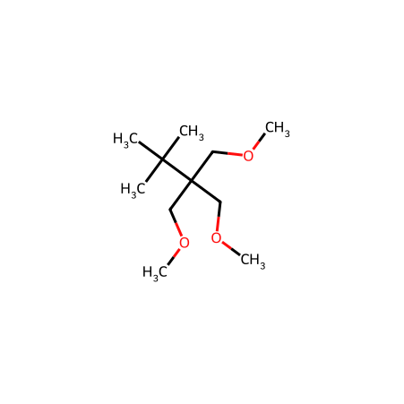 COCC(COC)(COC)C(C)(C)C